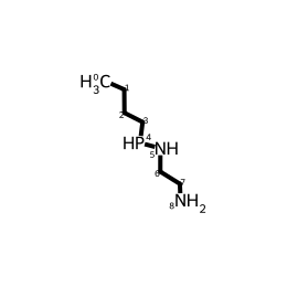 CCCCPNCCN